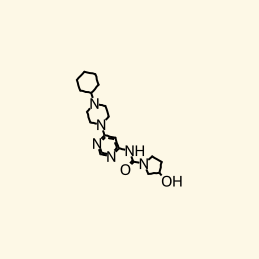 O=C(Nc1cc(N2CCN(C3CCCCC3)CC2)ncn1)N1CCC(O)C1